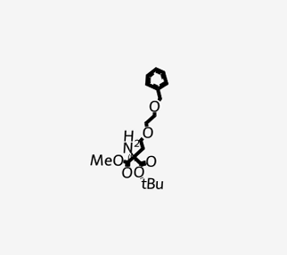 COC(=O)[C@@](N)(CCOCCOCc1ccccc1)C(=O)OC(C)(C)C